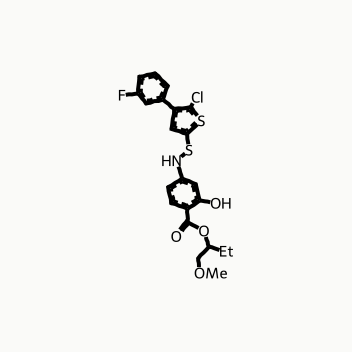 CCC(COC)OC(=O)c1ccc(NSc2cc(-c3cccc(F)c3)c(Cl)s2)cc1O